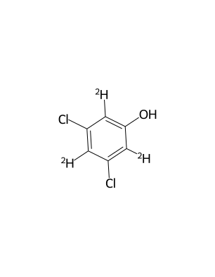 [2H]c1c(O)c([2H])c(Cl)c([2H])c1Cl